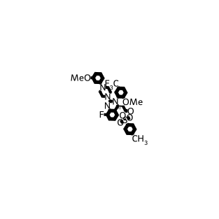 COc1cccc(N2CCN(C3=Nc4c(F)cccc4[C@H](CC(=O)OS(=O)(=O)c4ccc(C)cc4)N3c3cc(C(F)(F)F)ccc3OC)CC2)c1